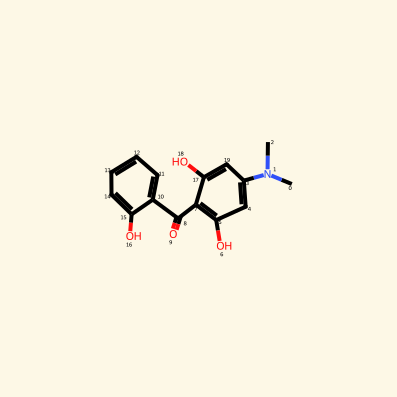 CN(C)c1cc(O)c(C(=O)c2ccccc2O)c(O)c1